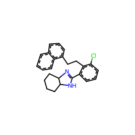 Clc1cccc(C2=NC3CCCCC3N2)c1CCc1cccc2ccccc12